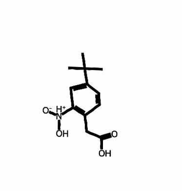 CC(C)(C)c1ccc(CC(=O)O)c([NH+]([O-])O)c1